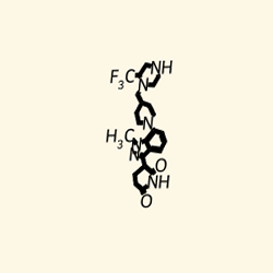 Cn1nc(C2CCC(=O)NC2=O)c2cccc(N3CCC(CN4CCNCC4C(F)(F)F)CC3)c21